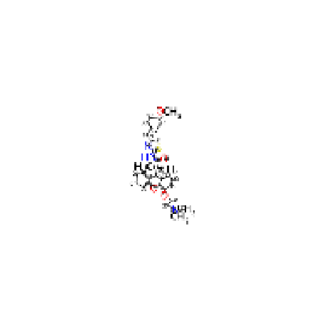 COc1ccc(Cc2csc(NC(=O)C(C)(C)C3c4ccccc4Oc4c(OCCN(C)C)cccc43)n2)cc1